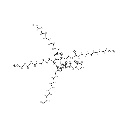 CCCCCCCCCCCC(=O)OC[C@H]1O[C@](O)(NC(=O)CC2CCCC2=O)[C@H](OC(=O)CCCCCCCCCCC)[C@@H](OC(=O)CCCCCCCCCCC)[C@H]1OC(=O)CCCCCCCCCCC